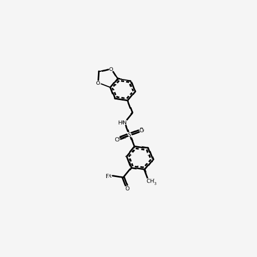 CCC(=O)c1cc(S(=O)(=O)NCc2ccc3c(c2)OCO3)ccc1C